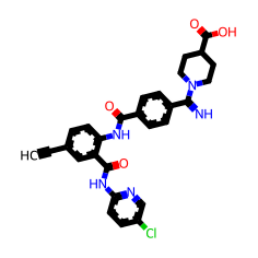 C#Cc1ccc(NC(=O)c2ccc(C(=N)N3CCC(C(=O)O)CC3)cc2)c(C(=O)Nc2ccc(Cl)cn2)c1